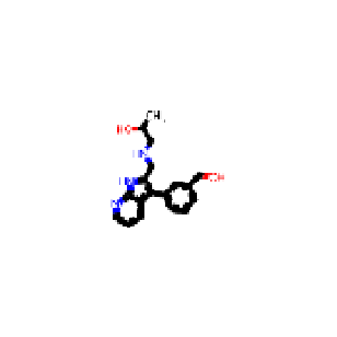 CC(O)CNCc1[nH]c2ncccc2c1-c1cccc(CO)c1